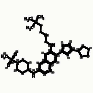 C[Si](C)(C)CCOCNc1nc2cc(NC3CCN(S(C)(=O)=O)CC3)cnc2cc1-c1nnc(C2CCCC2)s1